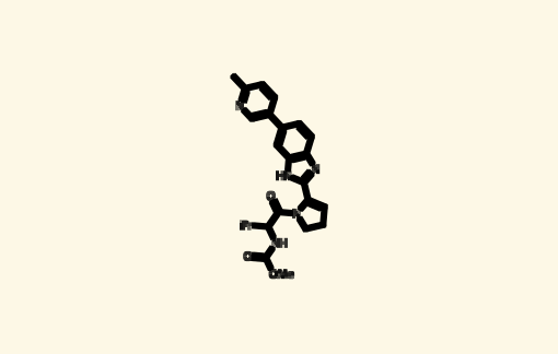 COC(=O)NC(C(=O)N1CCC=C1c1nc2ccc(-c3ccc(C)nc3)cc2[nH]1)C(C)C